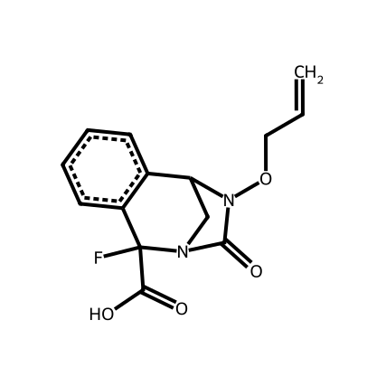 C=CCON1C(=O)N2CC1c1ccccc1C2(F)C(=O)O